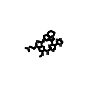 COc1cc(N(C)CCN(C)C)c([N+](=O)[O-])cc1Nc1ncc(-c2nnco2)c(-c2cn3c4c(cccc24)CCC3)n1